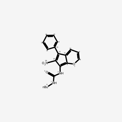 CCCCNC(=O)Nc1c2occcc-2c(-c2ccccc2)c1[N+](=O)[O-]